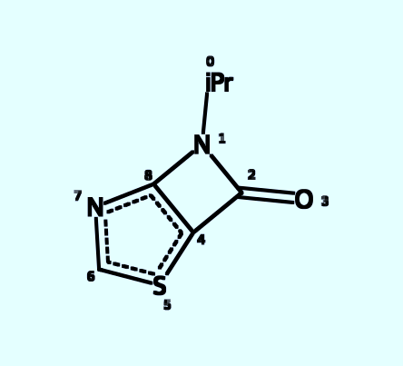 CC(C)N1C(=O)c2scnc21